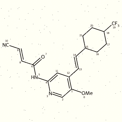 COc1cnc(NC(=O)/C=C/C#N)cc1/C=C/C1CCC(C(F)(F)F)CC1